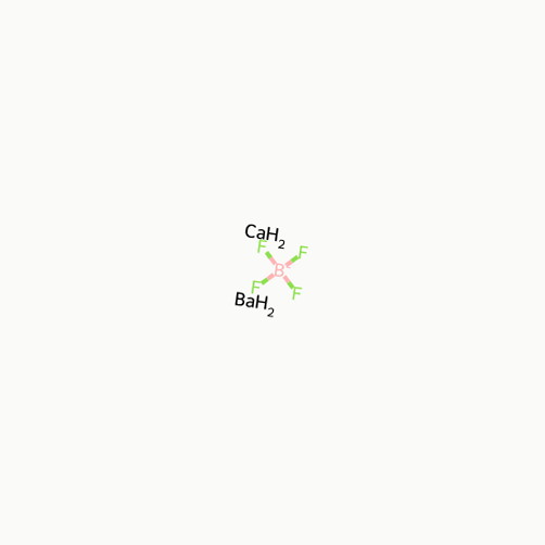 F[B-](F)(F)F.[BaH2].[CaH2]